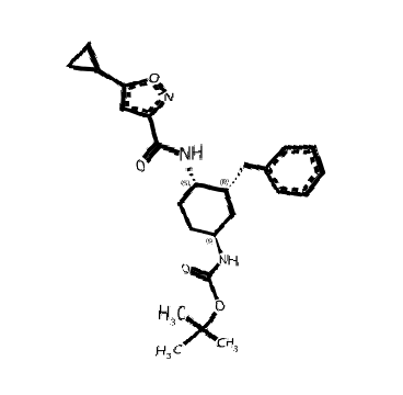 CC(C)(C)OC(=O)N[C@H]1CC[C@H](NC(=O)c2cc(C3CC3)on2)[C@H](Cc2ccccc2)C1